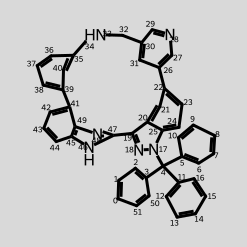 c1ccc(C(c2ccccc2)(c2ccccc2)n2nc3c4cc(ccc42)-c2cncc(c2)CNCc2cccc(c2)-c2cccc4[nH]c-3nc24)cc1